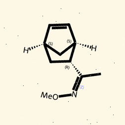 CO/N=C(/C)[C@@H]1C[C@H]2C=C[C@@H]1C2